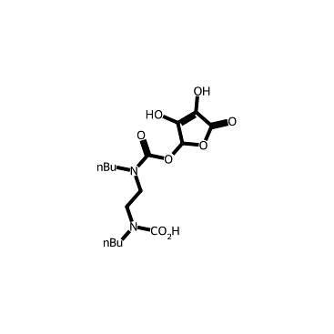 CCCCN(CCN(CCCC)C(=O)OC1OC(=O)C(O)=C1O)C(=O)O